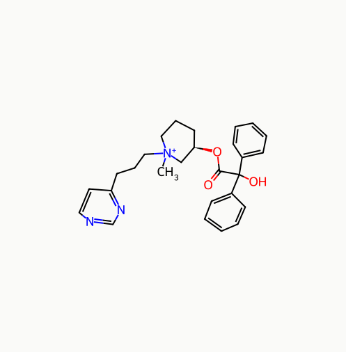 C[N+]1(CCCc2ccncn2)CCC[C@@H](OC(=O)C(O)(c2ccccc2)c2ccccc2)C1